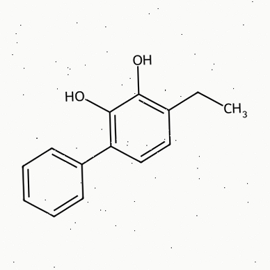 CCc1ccc(-c2ccccc2)c(O)c1O